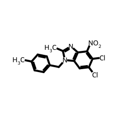 Cc1ccc(Cn2c(C)nc3c([N+](=O)[O-])c(Cl)c(Cl)cc32)cc1